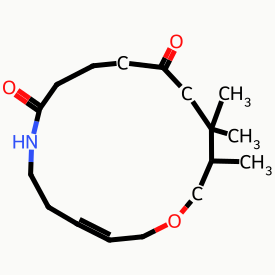 CC1COCC=CCCNC(=O)CCCC(=O)CC1(C)C